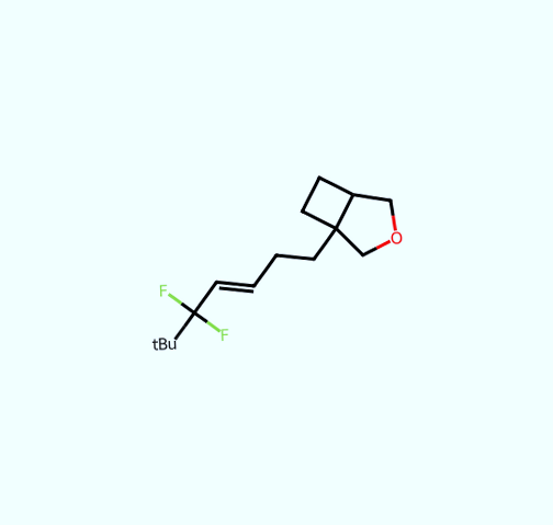 CC(C)(C)C(F)(F)/C=C/CCC12CCC1COC2